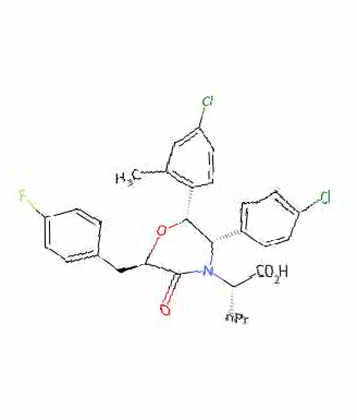 CCC[C@@H](C(=O)O)N1C(=O)[C@@H](Cc2ccc(F)cc2)O[C@H](c2ccc(Cl)cc2C)[C@@H]1c1ccc(Cl)cc1